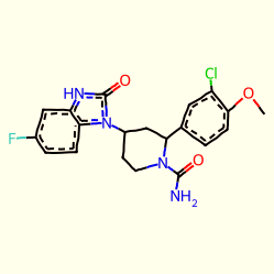 COc1ccc(C2CC(n3c(=O)[nH]c4cc(F)ccc43)CCN2C(N)=O)cc1Cl